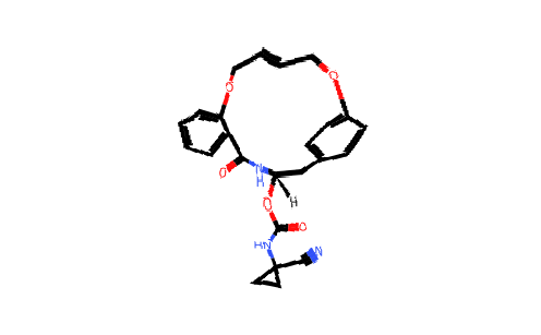 N#CC1(NC(=O)O[C@H]2Cc3ccc(cc3)OC/C=C/COc3ccccc3C(=O)N2)CC1